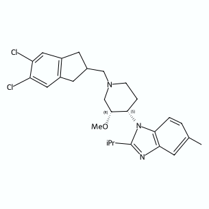 CO[C@@H]1CN(CC2Cc3cc(Cl)c(Cl)cc3C2)CC[C@@H]1n1c(C(C)C)nc2cc(C)ccc21